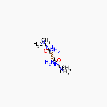 CN(C)CCNC(=O)[C@@H](N)CSSC[C@H](N)C(=O)NCCN(C)C